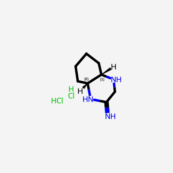 Cl.Cl.N=C1CN[C@H]2CCCC[C@H]2N1